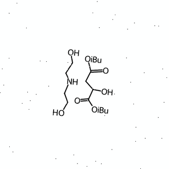 CC(C)COC(=O)CC(O)C(=O)OCC(C)C.OCCNCCO